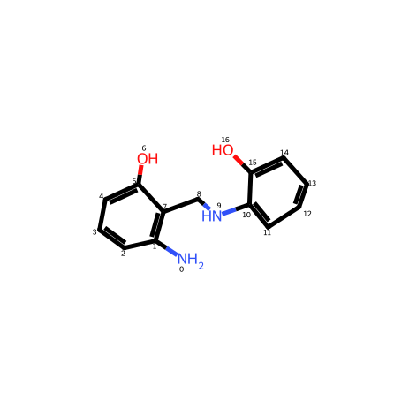 Nc1cccc(O)c1CNc1ccccc1O